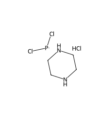 C1CNCCN1.Cl.Cl[P]Cl